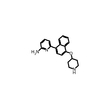 Nc1cccc(-c2ccc(OC3CCNCC3)c3ccccc23)n1